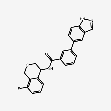 O=C(NC1COCc2c(F)cccc21)c1cccc(-c2ccc3[nH]ncc3c2)c1